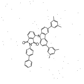 Cc1cc(C)cc(-c2ccc3c(c2)c2cc(-c4cc(C)cc(C)c4)ccc2n3-c2cccc3c2C(=O)N(c2ccc(-c4ccccc4)cc2)C3=O)c1